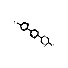 CCc1ccc(-c2ccc(C3COC(CC)CO3)cc2)cc1